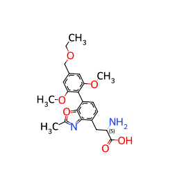 CCOCc1cc(OC)c(-c2ccc(C[C@H](N)C(=O)O)c3nc(C)oc23)c(OC)c1